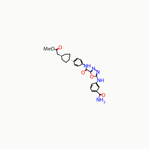 COC(=O)C[C@H]1CC[C@H](c2ccc(NC(=O)c3nnc(Nc4cccc(C(N)=O)c4)o3)cc2)CC1